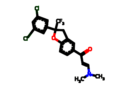 CN(C)C=CC(=O)c1ccc2c(c1)CC(c1cc(Cl)cc(Cl)c1)(C(F)(F)F)O2